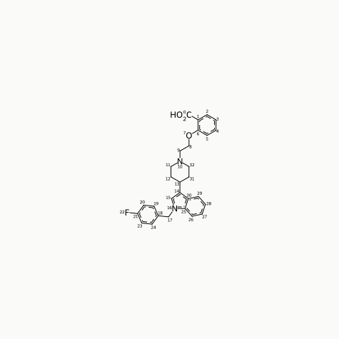 O=C(O)c1ccccc1OCCN1CCC(c2cn(Cc3ccc(F)cc3)c3ccccc23)CC1